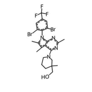 Cc1nc(N2CCCC(C)(CO)C2)c2c(C)c(C)n(-c3c(Br)cc(C(F)(F)F)cc3Br)c2n1